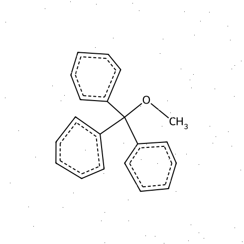 COC(c1ccccc1)(c1ccccc1)c1ccccc1